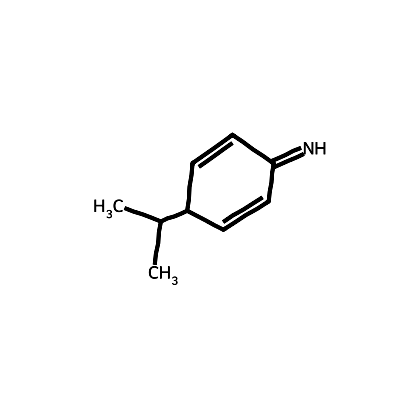 CC(C)C1C=CC(=N)C=C1